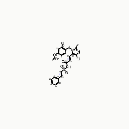 CCCOc1ccc(Cn2c(C)nc(Cl)c2/C=C/C(=O)NS(=O)(=O)/C=C/c2ccccc2)c(Cl)c1